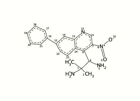 CC(C)(N)C(N)c1c([N+](=O)[O-])cnc2cc(-c3ccccc3)ccc12